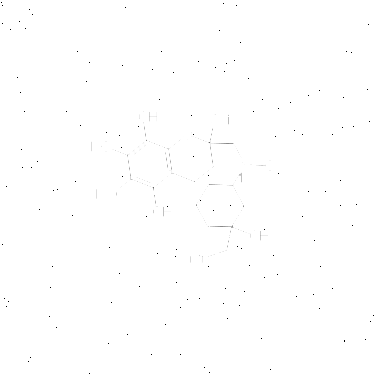 Cc1c(C)c2c(c(C)c1O)CCC(C)(C[SH](C)C1CCCC(C)(CC(C)C)C1)O2